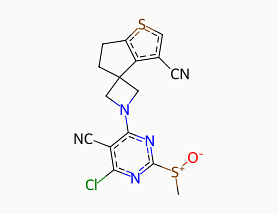 C[S+]([O-])c1nc(Cl)c(C#N)c(N2CC3(CCc4scc(C#N)c43)C2)n1